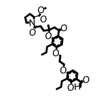 CCCc1c(OCCCOc2ccc3c(c2CCC)OC(C)(CCC(=O)N2CCC[C@H]2C(=O)OC)CC3=O)ccc(C(C)=O)c1O